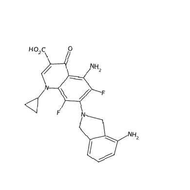 Nc1cccc2c1CN(c1c(F)c(N)c3c(=O)c(C(=O)O)cn(C4CC4)c3c1F)C2